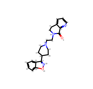 O=C1c2ncccc2CCN1CCN1CCC(c2noc3ccccc23)CC1